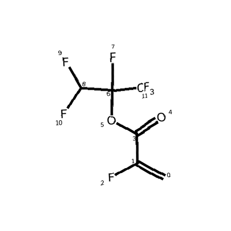 C=C(F)C(=O)OC(F)(C(F)F)C(F)(F)F